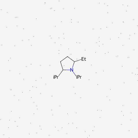 CCC1CCC(C(C)C)N1C(C)C